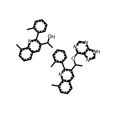 Cc1ccccc1-c1nc2c(C)cccc2cc1C(C)O.Cc1ccccc1-c1nc2c(C)cccc2cc1C(C)Oc1ncnc2[nH]cnc12